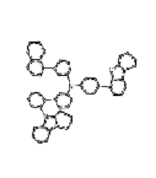 c1cc(-c2ccccc2-n2c3ccccc3c3ccccc32)cc(N(c2ccc(-c3cccc4c3oc3ccccc34)cc2)c2cccc(-c3cccc4ccccc34)c2)c1